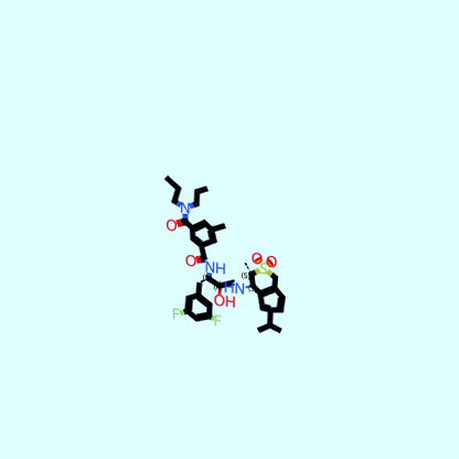 CCCN(CCC)C(=O)c1cc(C)cc(C(=O)N[C@@H](Cc2cc(F)cc(F)c2)[C@H](O)CN[C@H]2c3cc(C(C)C)ccc3CS(=O)(=O)[C@H]2C)c1